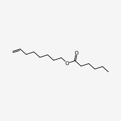 C=CCCCCCCOC(=O)CCCCC